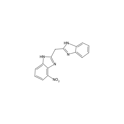 O=[N+]([O-])c1cccc2[nH]c(Cc3nc4ccccc4[nH]3)nc12